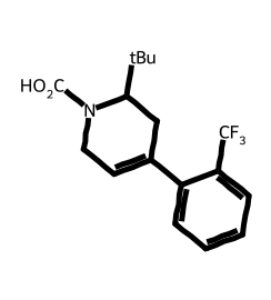 CC(C)(C)C1CC(c2ccccc2C(F)(F)F)=CCN1C(=O)O